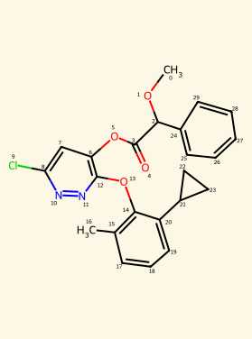 COC(C(=O)Oc1cc(Cl)nnc1Oc1c(C)cccc1C1CC1)c1ccccc1